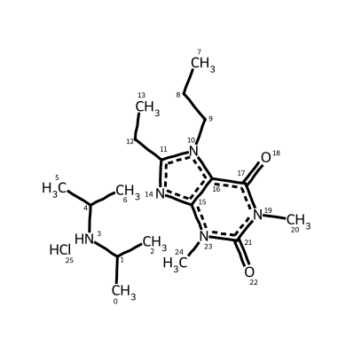 CC(C)NC(C)C.CCCn1c(CC)nc2c1c(=O)n(C)c(=O)n2C.Cl